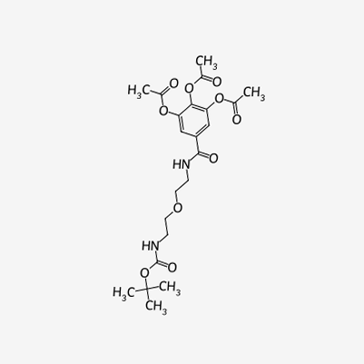 CC(=O)Oc1cc(C(=O)NCCOCCNC(=O)OC(C)(C)C)cc(OC(C)=O)c1OC(C)=O